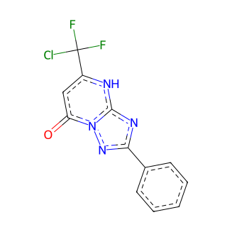 O=c1cc(C(F)(F)Cl)[nH]c2nc(-c3ccccc3)nn12